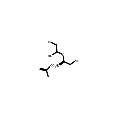 C=C(C)C(=O)O.CC(=O)CC(=O)OC(O)CO